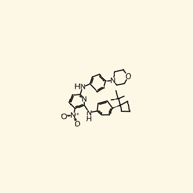 CC(C)(C)C1(c2ccc(Nc3nc(Nc4ccc(N5CCOCC5)cc4)ccc3[N+](=O)[O-])cc2)CCC1